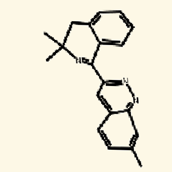 Cc1ccc2cc(C3=NC(C)(C)Cc4ccccc43)nnc2c1